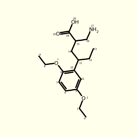 CCOc1ccc(OCC)c(C(CC)CC(CN)C(=O)O)c1